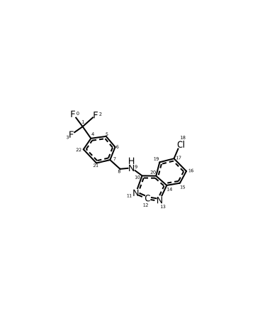 FC(F)(F)c1ccc(CNc2ncnc3ccc(Cl)cc23)cc1